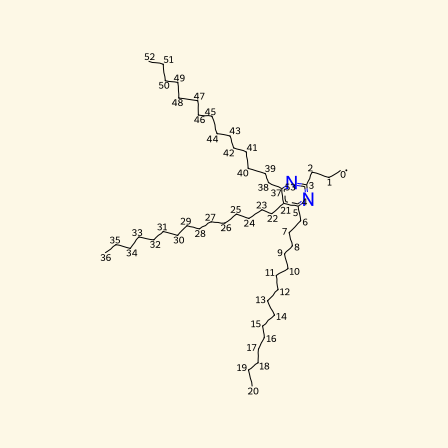 [CH2]CCc1nc(CCCCCCCCCCCCCCC)c(CCCCCCCCCCCCCCC)c(CCCCCCCCCCCCCCC)n1